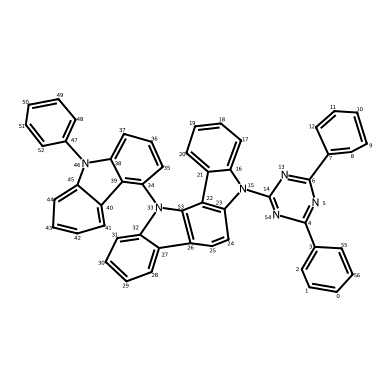 c1ccc(-c2nc(-c3ccccc3)nc(-n3c4ccccc4c4c3ccc3c5ccccc5n(-c5cccc6c5c5ccccc5n6-c5ccccc5)c34)n2)cc1